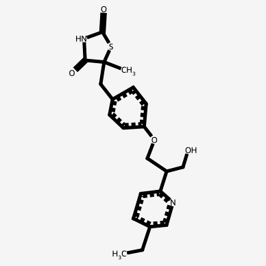 CCc1ccc(C(CO)COc2ccc(CC3(C)SC(=O)NC3=O)cc2)nc1